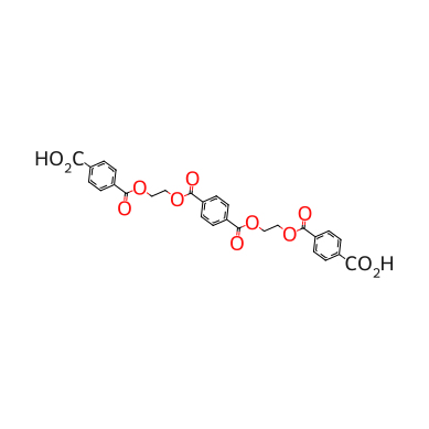 O=C(O)c1ccc(C(=O)OCCOC(=O)c2ccc(C(=O)OCCOC(=O)c3ccc(C(=O)O)cc3)cc2)cc1